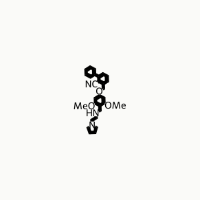 COc1cc(OCc2cccc(-c3ccccc3)c2C#N)cc(OC)c1CNCCN1CCCC1